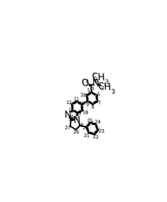 CN(C)C(=O)c1cccc(-c2ccc3nc4n(c3c2)C(c2ccccc2)CC4)c1